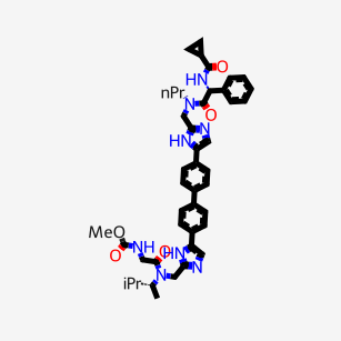 CCCN(Cc1ncc(-c2ccc(-c3ccc(-c4cnc(CN(C(=O)CNC(=O)OC)[C@H](C)C(C)C)[nH]4)cc3)cc2)[nH]1)C(=O)[C@H](NC(=O)C1CC1)c1ccccc1